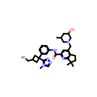 CC1CC(O)CN(Cc2cc(C(=O)Nc3cccc(C4(c5nncn5C)CC(CC#N)C4)c3)nc3c2CCC3(C)C)C1